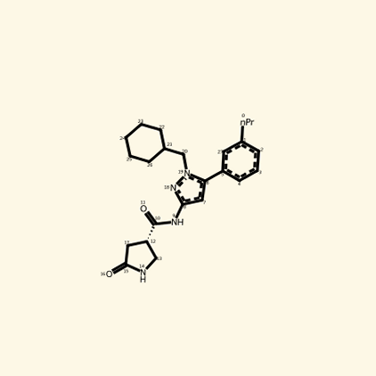 CCCc1cccc(-c2cc(NC(=O)[C@@H]3CNC(=O)C3)nn2CC2CCCCC2)c1